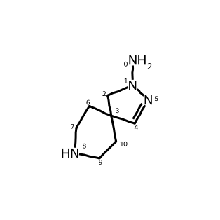 NN1CC2(C=N1)CCNCC2